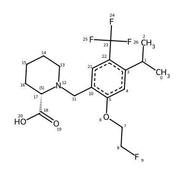 CC(C)c1cc(OCCF)c(CN2CCCC[C@H]2C(=O)O)cc1C(F)(F)F